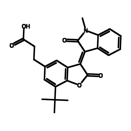 CN1C(=O)C(=C2C(=O)Oc3c2cc(CCC(=O)O)cc3C(C)(C)C)c2ccccc21